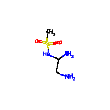 CS(=O)(=O)NC(N)CN